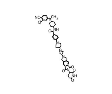 CN(c1ccc(C#N)c(Cl)c1)[C@H]1CC[C@H](NC(=O)c2ccc(N3CCC(N4CC(N5Cc6cc7c(cc6C5)C(=O)N(C5CCC(=O)NC5=O)C7=O)C4)CC3)cc2)CC1